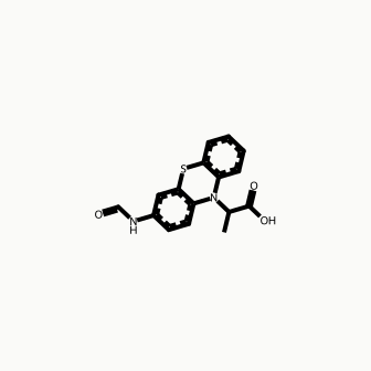 CC(C(=O)O)N1c2ccccc2Sc2cc(NC=O)ccc21